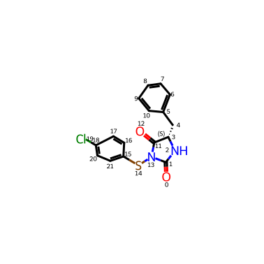 O=C1N[C@@H](Cc2ccccc2)C(=O)N1Sc1ccc(Cl)cc1